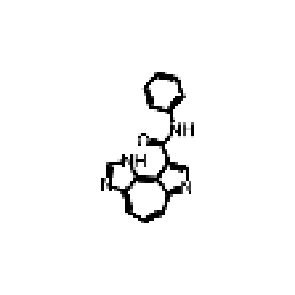 O=C(Nc1ccccc1)c1cnc2cccc3nc[nH]c3c1-2